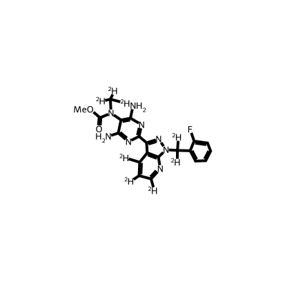 [2H]c1nc2c(c(-c3nc(N)c(N(C(=O)OC)C([2H])([2H])[2H])c(N)n3)nn2C([2H])([2H])c2ccccc2F)c([2H])c1[2H]